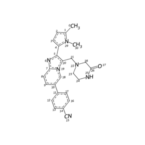 Cc1ccc(-c2nc3ccc(-c4ccc(C#N)cc4)cn3c2CN2CCNC(=O)C2)n1C